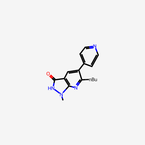 CCCCc1nc2c(cc1-c1ccncc1)c(=O)[nH]n2C